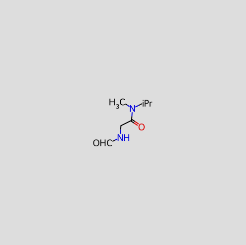 CC(C)N(C)C(=O)CNC=O